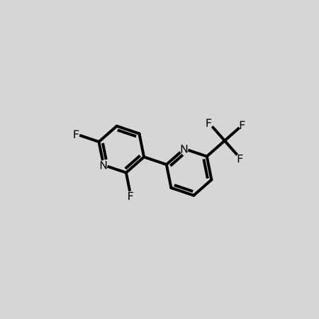 Fc1ccc(-c2cccc(C(F)(F)F)n2)c(F)n1